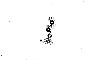 COc1ccc(Cl)c(C(=O)Nc2cccc(CN3CCN(C(=O)OC(C)(C)C)CC3)c2)c1